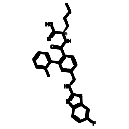 CSCC[C@H](NC(=O)c1ccc(CNc2nc3ccc(F)cc3s2)cc1-c1ccccc1C)C(=O)O